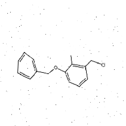 Cc1c(CCl)cccc1OCc1ccccc1